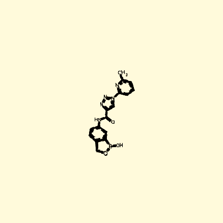 Cc1cccc(-n2cc(C(=O)Nc3ccc4c(c3)B(O)OC4)nn2)n1